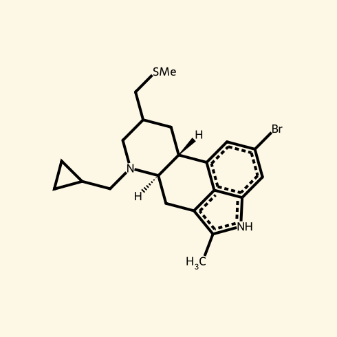 CSCC1C[C@@H]2c3cc(Br)cc4[nH]c(C)c(c34)C[C@H]2N(CC2CC2)C1